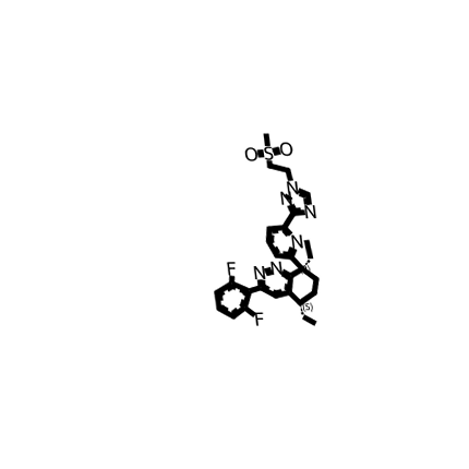 CC[C@H]1CC[C@](CC)(c2cccc(-c3ncn(CCS(C)(=O)=O)n3)n2)c2nnc(-c3c(F)cccc3F)cc21